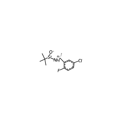 C[C@@H](N[S+]([O-])C(C)(C)C)c1cc(Cl)ccc1F